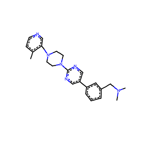 Cc1ccncc1N1CCN(c2ncc(-c3cccc(CN(C)C)c3)cn2)CC1